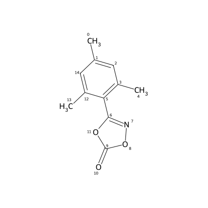 Cc1cc(C)c(-c2noc(=O)o2)c(C)c1